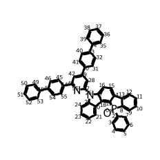 O=P1(c2ccccc2)c2ccccc2-c2ccc3c(c21)c1ccccc1n3-c1cc(-c2ccc(-c3ccccc3)cc2)cc(-c2ccc(-c3ccccc3)cc2)n1